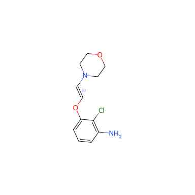 Nc1cccc(O/C=C/N2CCOCC2)c1Cl